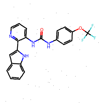 O=C(Nc1ccc(OC(F)(F)F)cc1)Nc1cccnc1-c1cc2ccccc2[nH]1